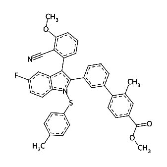 COC(=O)c1ccc(-c2cccc(-c3c(-c4cccc(OC)c4C#N)c4cc(F)ccc4n3Sc3ccc(C)cc3)c2)c(C)c1